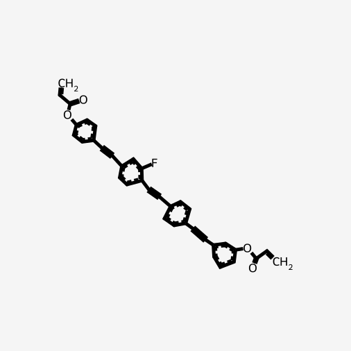 C=CC(=O)Oc1ccc(C#Cc2ccc(C#Cc3ccc(C#Cc4cccc(OC(=O)C=C)c4)cc3)c(F)c2)cc1